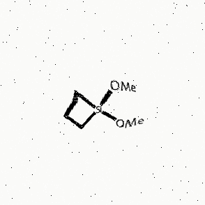 CO[Si]1(OC)CCC1